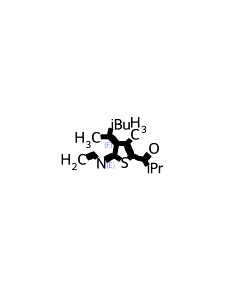 C=C/N=C1/SC(C(=O)C(C)C)=C(C)/C1=C(/C)C(C)CC